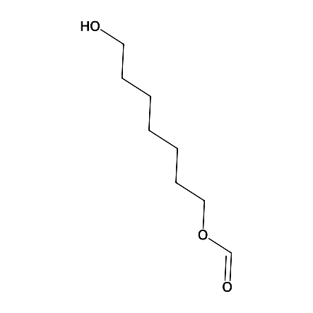 O=COCCCCCCCO